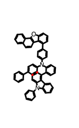 c1ccc(-c2ccc(N(c3ccc(-c4cccc5oc6c7ccccc7ccc6c45)cc3)c3ccccc3-c3cccc4c3c3ccccc3n4-c3ccccc3)cc2)cc1